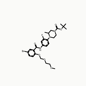 COCCOCOc1ccc(Br)cc1C(=O)Nc1ccc(N2CCN(C(=O)OC(C)(C)C)CC2C)c(F)c1